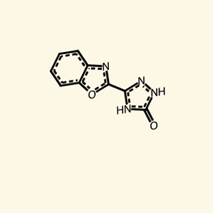 O=c1[nH]nc(-c2nc3ccccc3o2)[nH]1